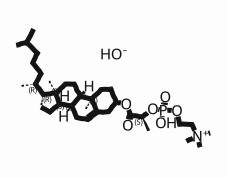 CC(C)CCC[C@@H](C)[C@H]1CC[C@H]2[C@@H]3CC=C4CC(OC(=O)[C@H](C)OP(=O)(O)OCC[N+](C)(C)C)CC[C@]4(C)[C@H]3CC[C@]12C.[OH-]